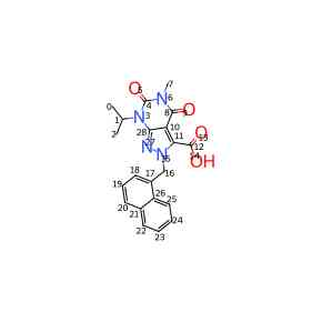 CC(C)n1c(=O)n(C)c(=O)c2c(C(=O)O)n(Cc3cccc4ccccc34)nc21